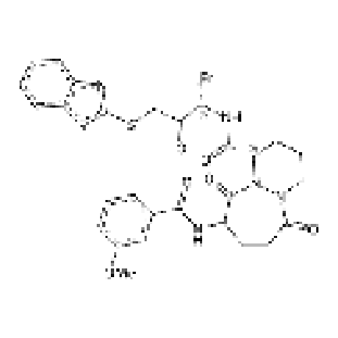 COc1cccc(C(=O)NC2CCC(=O)N3CCC[C@@H](C(=O)N[C@H](C(=O)CSc4nc5ccccc5s4)C(C)C)N3C2=O)c1